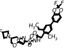 CCc1cc(-c2ccc3c(c2)OC(F)(F)O3)cc(C)c1CC(=O)NS(=O)(=O)c1cc2n(n1)C[C@@H](N1CC(F)C1)CO2